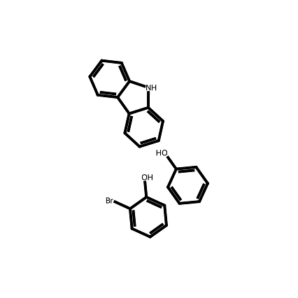 Oc1ccccc1.Oc1ccccc1Br.c1ccc2c(c1)[nH]c1ccccc12